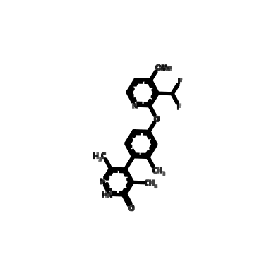 COc1ccnc(Oc2ccc(-c3c(C)n[nH]c(=O)c3C)c(C)c2)c1C(F)F